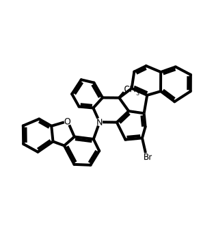 CC12c3ccccc3N(c3cccc4c3oc3ccccc34)c3cc(Br)cc(c31)-c1c2ccc2ccccc12